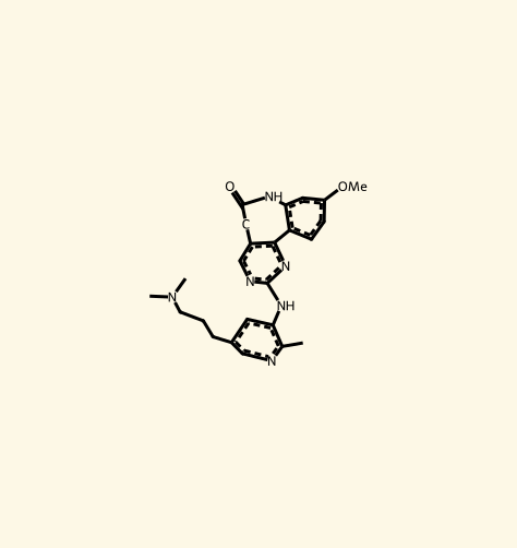 COc1ccc2c(c1)NC(=O)Cc1cnc(Nc3cc(CCCN(C)C)cnc3C)nc1-2